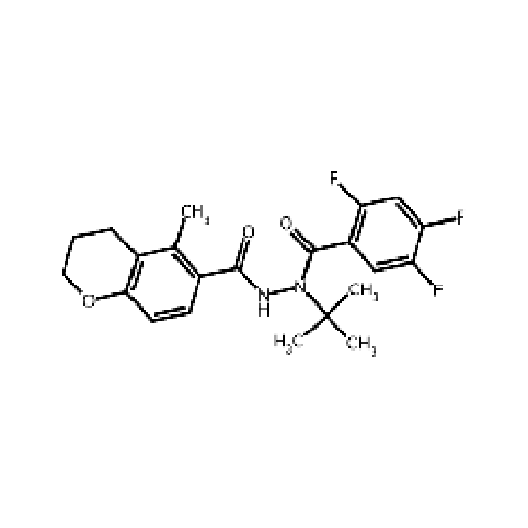 Cc1c(C(=O)NN(C(=O)c2cc(F)c(F)cc2F)C(C)(C)C)ccc2c1CCCO2